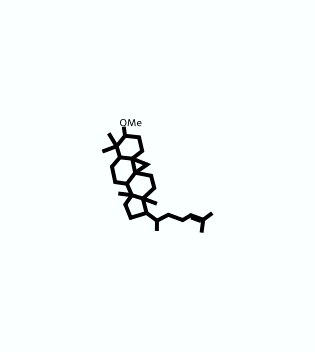 COC1CCC23CC24CCC2(C)C(C(C)CCC=C(C)C)CCC2(C)C4CCC3C1(C)C